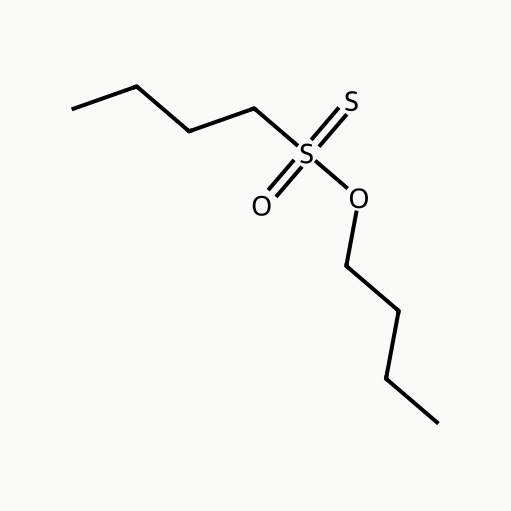 CCCCOS(=O)(=S)CCCC